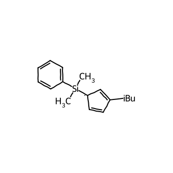 CCC(C)C1=C[C]([Si](C)(C)c2ccccc2)C=C1